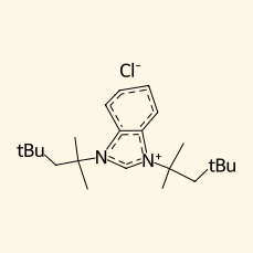 CC(C)(C)CC(C)(C)n1c[n+](C(C)(C)CC(C)(C)C)c2ccccc21.[Cl-]